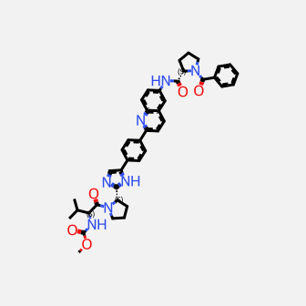 COC(=O)N[C@H](C(=O)N1CCC[C@H]1c1ncc(-c2ccc(-c3ccc4cc(NC(=O)[C@@H]5CCCN5C(=O)c5ccccc5)ccc4n3)cc2)[nH]1)C(C)C